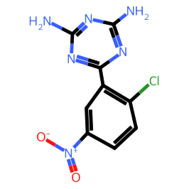 Nc1nc(N)nc(-c2cc([N+](=O)[O-])ccc2Cl)n1